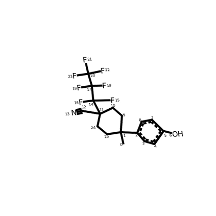 CC1(c2ccc(O)cc2)CCC(C#N)(C(F)(F)C(F)(F)C(F)(F)F)CC1